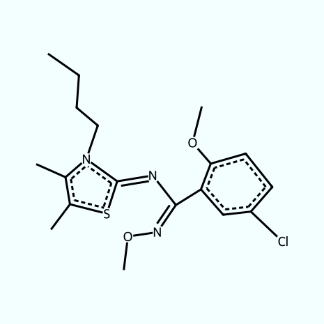 CCCCn1c(C)c(C)sc1=NC(=NOC)c1cc(Cl)ccc1OC